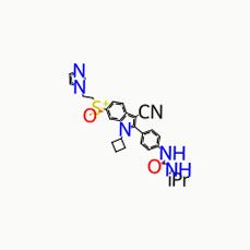 CC(C)NC(=O)Nc1ccc(-c2c(C#N)c3ccc([S+]([O-])CCn4ccnc4)cc3n2C2CCC2)cc1